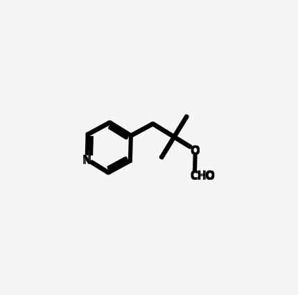 CC(C)(Cc1ccncc1)OC=O